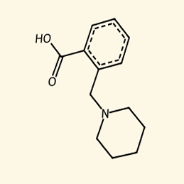 O=C(O)c1ccccc1CN1CCCCC1